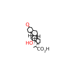 CC(C(=O)O)[C@H]1CC[C@H]2[C@@H]3CCC4CC(=O)CC[C@]4(C)[C@H]3CC(O)[C@]12C